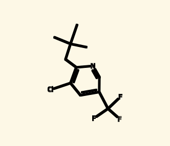 CC(C)(C)Cc1ncc(C(F)(F)F)cc1Cl